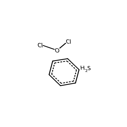 ClOCl.S.c1ccccc1